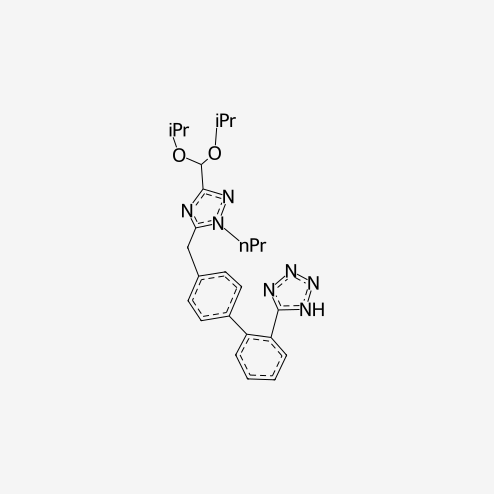 CCCn1nc(C(OC(C)C)OC(C)C)nc1Cc1ccc(-c2ccccc2-c2nnn[nH]2)cc1